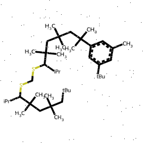 Cc1cc(C(C)(C)C)cc(C(C)(C)CC(C)(C)CC(C)(C)C(SCSC(C(C)C)C(C)(C)CC(C)(C)CC(C)(C)C)C(C)C)c1